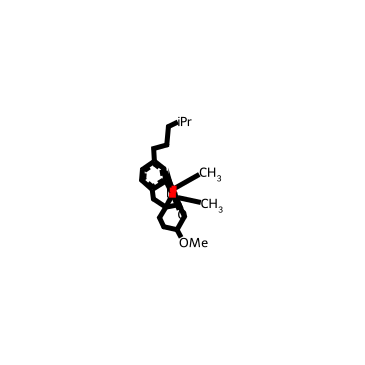 COC1CCC2(CC1)Cc1ccc(CCCC(C)C)cc1C21N=C(C)N(C)C1=O